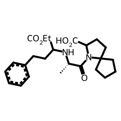 CCOC(=O)C(CCc1ccccc1)N[C@@H](C)C(=O)N1C(C(=O)O)CCC12CCCC2